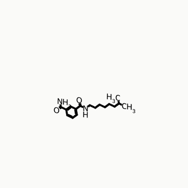 CC(C)CCCCCCNC(=O)c1cccc(C(N)=O)c1